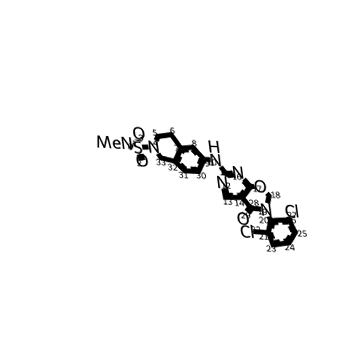 CNS(=O)(=O)N1CCc2cc(Nc3ncc4c(n3)OCN(c3c(Cl)cccc3Cl)C4=O)ccc2C1